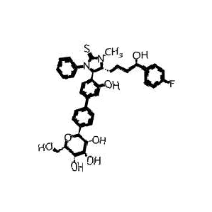 CN1C(=S)N(c2ccccc2)[C@H](c2ccc(-c3ccc([C@@H]4O[C@H](CO)[C@@H](O)[C@H](O)[C@H]4O)cc3)cc2O)[C@H]1CCC[C@@H](O)c1ccc(F)cc1